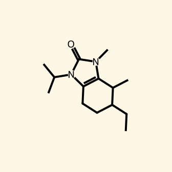 CCC1CCc2c(n(C)c(=O)n2C(C)C)C1C